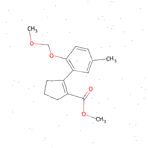 COCOc1ccc(C)cc1C1=C(C(=O)OC)CCC1